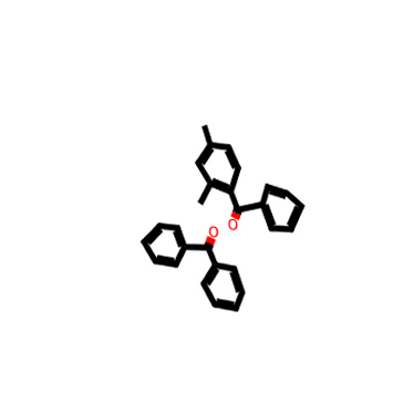 Cc1ccc(C(=O)c2ccccc2)c(C)c1.O=C(c1ccccc1)c1ccccc1